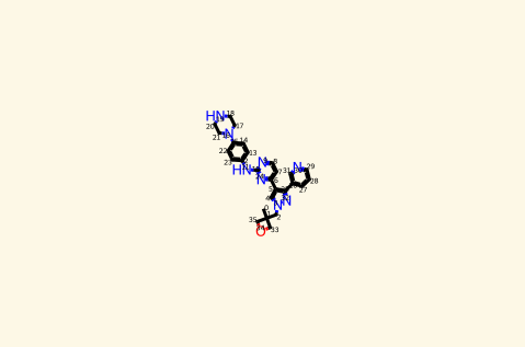 CC1(Cn2cc(-c3ccnc(Nc4ccc(N5CCNCC5)cc4)n3)c(-c3cccnc3)n2)COC1